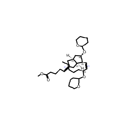 CCCCC[C@@H](/C=C\[C@H]1[C@H]2C/C(=C/CCCC(=O)OC)C[C@H]2C[C@H]1OC1CCCCO1)OC1CCCCO1